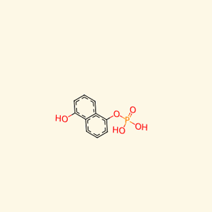 O=P(O)(O)Oc1cccc2c(O)cccc12